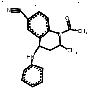 CC(=O)N1c2ccc(C#N)cc2C(Nc2ccccc2)CC1C